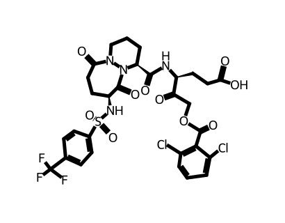 O=C(O)CC[C@H](NC(=O)[C@@H]1CCCN2C(=O)CC[C@H](NS(=O)(=O)c3ccc(C(F)(F)F)cc3)C(=O)N12)C(=O)COC(=O)c1c(Cl)cccc1Cl